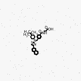 CC(C)(C)C1CCC(N(Cc2ccc(C(=O)NCCC(=O)O)cc2)c2nc(-c3ccc4ccccc4c3)cs2)CC1